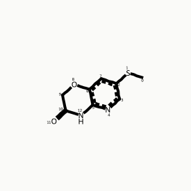 CSc1cnc2c(c1)OCC(=O)N2